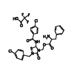 NC(Cc1ccccc1)C(=O)OCN1C(=O)N(Cc2ccc(Cl)cc2)SC1NC(=O)c1ccc(Cl)cc1.O=C(O)C(F)(F)F